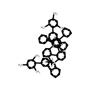 Cc1cc(C)c(-c2ccc3c(c2)c2ccccc2n3-c2cccc(-c3nc(-c4ccccc4)nc(-c4ccccc4)n3)c2-c2c(-n3c4ccccc4c4cc(-c5c(C)cc(C)cc5C)ccc43)cccc2C(F)(F)F)c(C)c1